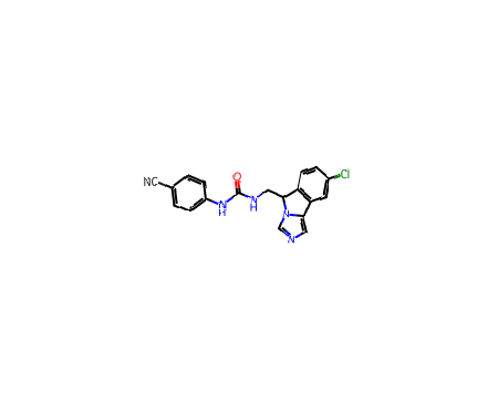 N#Cc1ccc(NC(=O)NCC2c3ccc(Cl)cc3-c3cncn32)cc1